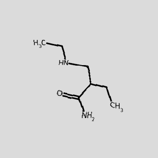 CCNCC(CC)C(N)=O